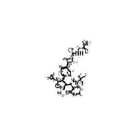 CC(C)(C)n1nc(-c2noc(C3CC3)c2-c2ncc(C3CN(C(=O)NCC(=O)O)C3)cn2)c2c(N)ncnc21